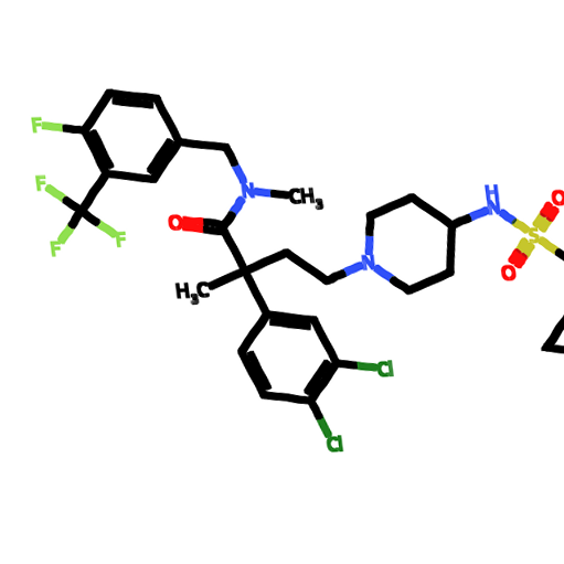 CN(Cc1ccc(F)c(C(F)(F)F)c1)C(=O)C(C)(CCN1CCC(NS(=O)(=O)CC2CC2)CC1)c1ccc(Cl)c(Cl)c1